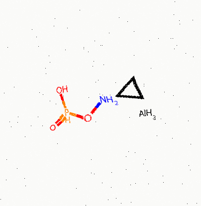 C1CC1.NO[PH](=O)O.[AlH3]